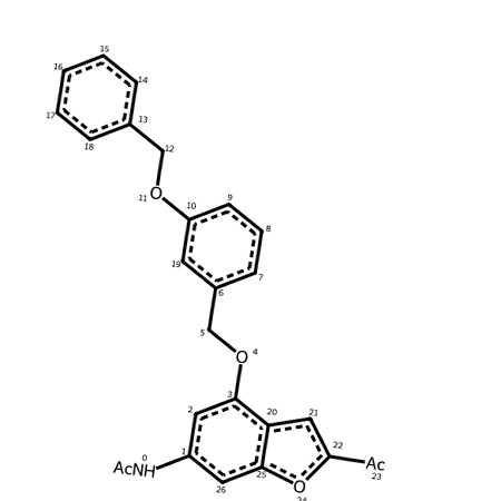 CC(=O)Nc1cc(OCc2cccc(OCc3ccccc3)c2)c2cc(C(C)=O)oc2c1